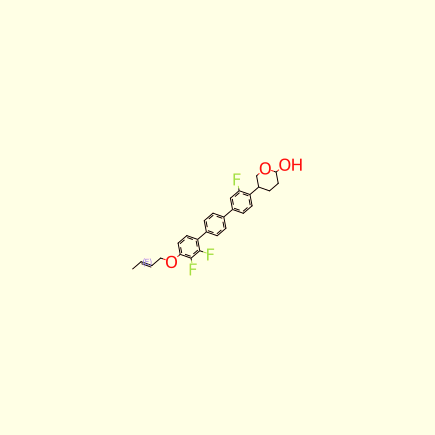 C/C=C/COc1ccc(-c2ccc(-c3ccc(C4CCC(O)OC4)c(F)c3)cc2)c(F)c1F